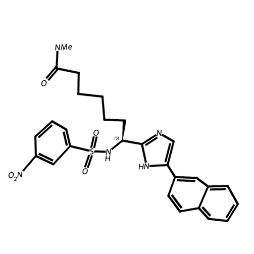 CNC(=O)CCCCC[C@H](NS(=O)(=O)c1cccc([N+](=O)[O-])c1)c1ncc(-c2ccc3ccccc3c2)[nH]1